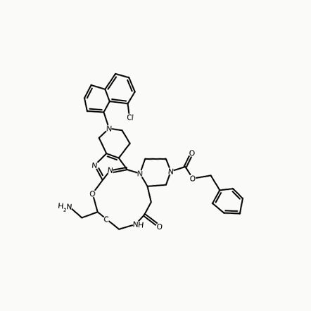 NCC1CCNC(=O)CC2CN(C(=O)OCc3ccccc3)CCN2c2nc(nc3c2CCN(c2cccc4cccc(Cl)c24)C3)O1